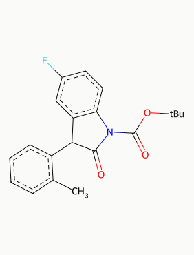 Cc1ccccc1C1C(=O)N(C(=O)OC(C)(C)C)c2ccc(F)cc21